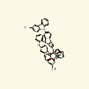 N#Cc1ccc2c(c1)c1ccccc1n2-c1ccc2c(c1)C1(c3ccccc3O2)c2cc(N3c4ccccc4Sc4ccccc43)cnc2-c2ncc(-n3c4ccccc4c4cc(C#N)ccc43)cc21